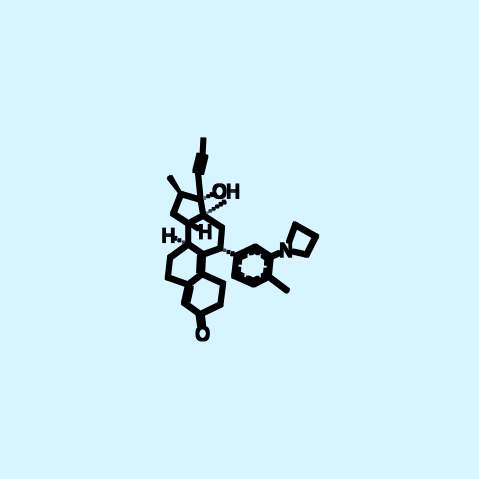 CC#C[C@]1(O)[C@H](C)C[C@H]2[C@@H]3CCC4=CC(=O)CCC4=C3[C@@H](c3ccc(C)c(N4CCC4)c3)C[C@@]21C